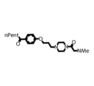 CCCCCC(=O)c1ccc(OCCCN2CCN(C(=O)CNC)CC2)cc1